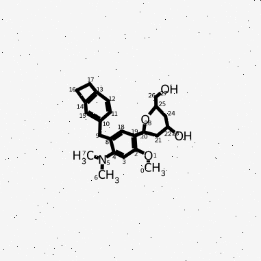 COc1cc(N(C)C)c(Cc2ccc3c(c2)CC3)cc1C1CC(O)CC(CO)O1